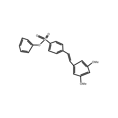 COc1cc(C=Cc2ccc(S(=O)(=O)Oc3ccccc3)cc2)cc(OC)c1